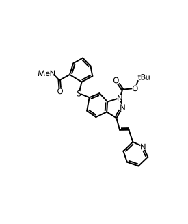 CNC(=O)c1ccccc1Sc1ccc2c(/C=C/c3ccccn3)nn(C(=O)OC(C)(C)C)c2c1